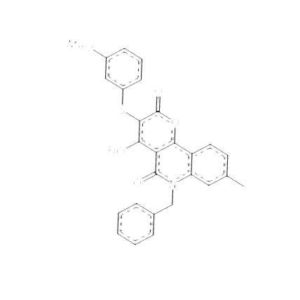 COc1cccc(Sc2c(O)c3c(=O)n(Cc4ccccc4)c4cc(C)ccc4c3oc2=O)c1